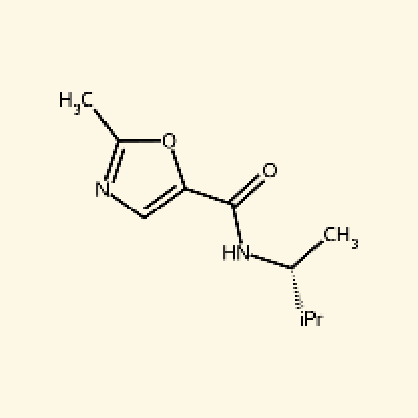 Cc1ncc(C(=O)N[C@H](C)C(C)C)o1